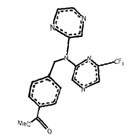 COC(=O)c1ccc(CN(c2cnccn2)c2cncc(C(F)(F)F)n2)cc1